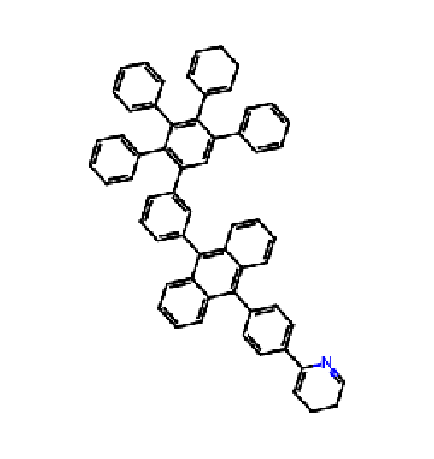 C1=CC(c2c(-c3ccccc3)cc(-c3cccc(-c4c5ccccc5c(-c5ccc(C6=CCCC=N6)cc5)c5ccccc45)c3)c(-c3ccccc3)c2-c2ccccc2)=CCC1